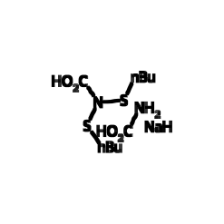 CCCCSN(SCCCC)C(=O)O.NC(=O)O.[NaH]